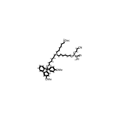 CCCCCCCCCCCCCCCCN(CCCCCCOP(OCCC#N)N(C(C)C)C(C)C)CCCCCCOC(c1ccccc1)(c1ccc(OC)cc1)c1ccc(OC)cc1